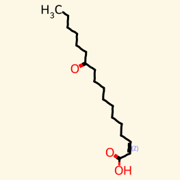 CCCCCCC(=O)CCCCCCCC/C=C\C(=O)O